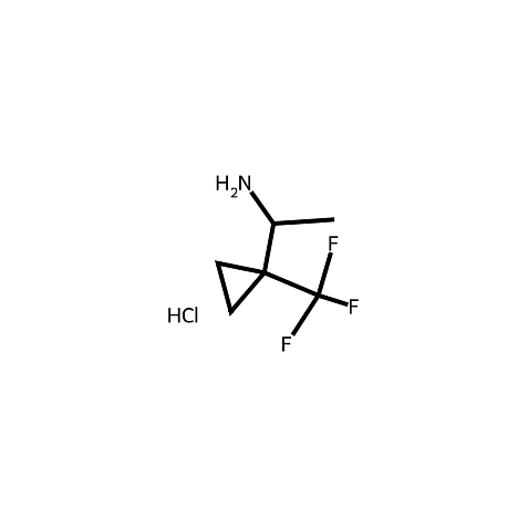 CC(N)C1(C(F)(F)F)CC1.Cl